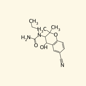 CCCN(C(N)=O)C1C(O)c2cc(C#N)ccc2OC1(C)C